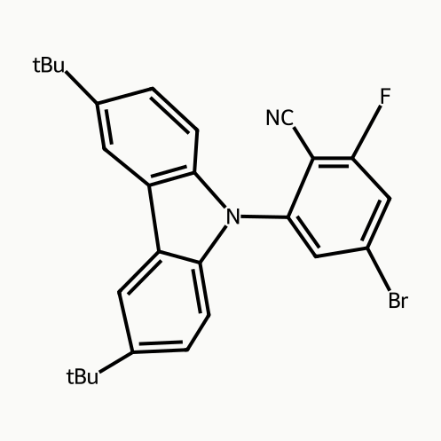 CC(C)(C)c1ccc2c(c1)c1cc(C(C)(C)C)ccc1n2-c1cc(Br)cc(F)c1C#N